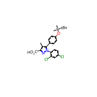 Cc1c(C(=O)O)nn(-c2ccc(Cl)cc2Cl)c1-c1ccc(O[Si](C)(C)C(C)(C)C)cc1